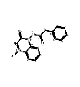 N=c1n[n+]([O-])c2ccccc2n1OC(=O)Cc1ccccc1